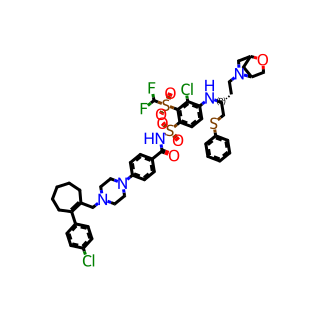 O=C(NS(=O)(=O)c1ccc(N[C@H](CCN2CC3CC2CO3)CSc2ccccc2)c(Cl)c1S(=O)(=O)C(F)F)c1ccc(N2CCN(CC3=C(c4ccc(Cl)cc4)CCCCC3)CC2)cc1